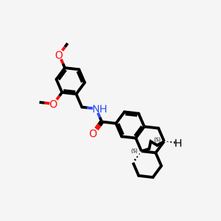 COc1ccc(CNC(=O)c2ccc3c(c2)[C@]24CCCCC2[C@@H](CCC4)C3)c(OC)c1